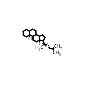 C=C(C)C/N=C(\C)C1CCC2C3CCC4CCCCC4(C)C3CCC12C